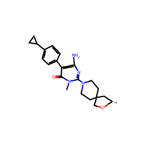 C[C@H]1CC2(CCN(c3nc(N)c(-c4ccc(C5CC5)cc4)c(=O)n3C)CC2)CO1